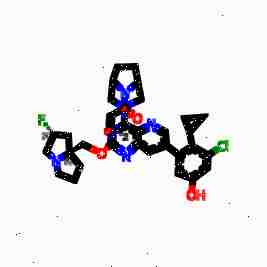 C=CC(=O)N1C2CCC1CN(c1nc(OC[C@@]34CCCN3C[C@H](F)C4)nc3cc(-c4cc(O)cc(Cl)c4C4CC4)cnc13)C2